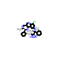 BC(Nc1cc(Cl)c2ncc(C#N)c(N[C@H](CC)c3ccccc3)c2c1)(C1=C(C)NNN1)c1ccccc1Cl